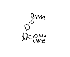 CNC(=O)OCc1ccc(-c2ccnc3cc(OC)c(OC)cc23)cc1